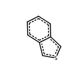 c1ccc2cscc2c1